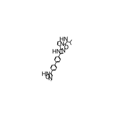 CNC(C(=O)N1CC=CC1c1ncc(-c2ccc(-c3ccc(C4=CN(C)ON4)cc3)cc2)[nH]1)C(C)C